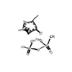 Cc1n[nH]cc1Cl.O=P(O)(O)OP(=O)(O)O